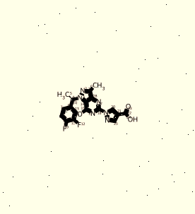 Cc1nn([C@@H](C)c2ccc(F)c(F)c2)c2c(O)nc(-n3cc(C(=O)O)cn3)nc12